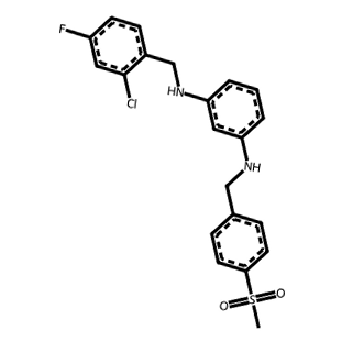 CS(=O)(=O)c1ccc(CNc2cccc(NCc3ccc(F)cc3Cl)c2)cc1